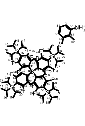 CC(C)[Si](c1c(F)c(F)c([B-](c2c(F)c(F)c([Si](C(C)C)(C(C)C)C(C)C)c(F)c2F)(c2c(F)c(F)c([Si](C(C)C)(C(C)C)C(C)C)c(F)c2F)c2c(F)c(F)c([Si](C(C)C)(C(C)C)C(C)C)c(F)c2F)c(F)c1F)(C(C)C)C(C)C.Cc1cccc([NH3+])c1C